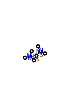 c1ccc(-c2nc(-c3ccccc3)nc(-c3cccc4sc5cc(-c6nc(-c7ccccc7)nc7c6sc6ccccc67)ccc5c34)n2)cc1